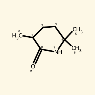 CC1CCC(C)(C)NC1=O